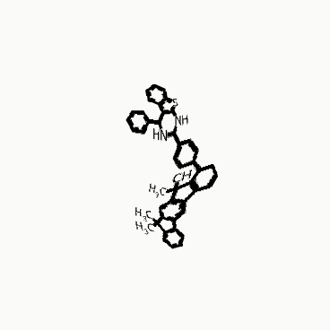 CC1(C)C2=C(C=CCC2C2C=CC(C3Nc4sc5ccccc5c4C(c4ccccc4)N3)=CC2)c2cc3c(cc21)C(C)(C)c1ccccc1-3